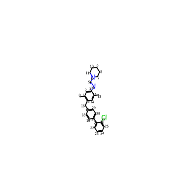 Cc1cc(N=CN2CCCCC2)c(C)cc1Cc1ccc(-c2ccccc2Cl)cc1